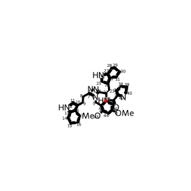 COc1ccc(Cn2c(CCc3c[nH]c4ccccc34)nnc2[C@@H](Cc2c[nH]c3ccccc23)NC(=O)c2ccccn2)c(OC)c1